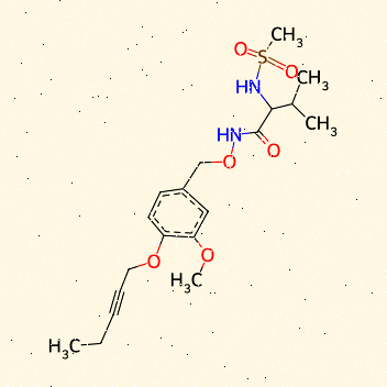 CCC#CCOc1ccc(CONC(=O)C(NS(C)(=O)=O)C(C)C)cc1OC